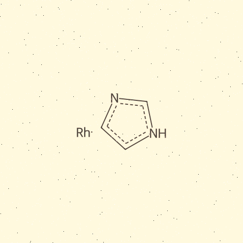 [Rh].c1c[nH]cn1